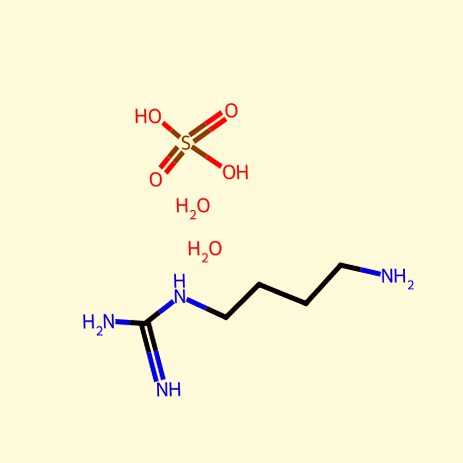 N=C(N)NCCCCN.O.O.O=S(=O)(O)O